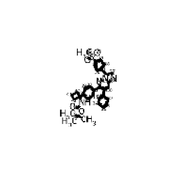 CC(C)(C)OC(=O)NC1(c2ccc(-c3nn4c(-c5ccc(S(C)(=O)=O)cc5)cnc4cc3-c3ccccc3)cc2)CCC1